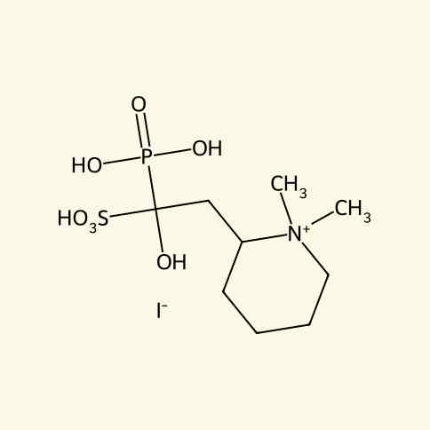 C[N+]1(C)CCCCC1CC(O)(P(=O)(O)O)S(=O)(=O)O.[I-]